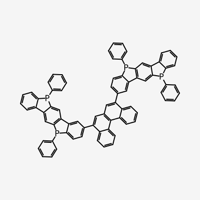 c1ccc(-p2c3ccccc3c3cc4c(cc32)c2cc(-c3cc5cc(-c6ccc7c(c6)c6cc8c(cc6p7-c6ccccc6)c6ccccc6p8-c6ccccc6)c6ccccc6c5c5ccccc35)ccc2p4-c2ccccc2)cc1